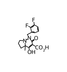 CC12CCCN1N(Cc1cccc(F)c1F)C(=O)C(C(=O)O)=C2O